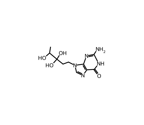 CC(O)C(O)(O)CCn1cnc2c(=O)[nH]c(N)nc21